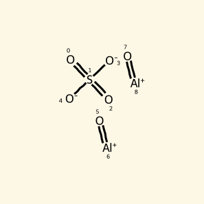 O=S(=O)([O-])[O-].[O]=[Al+].[O]=[Al+]